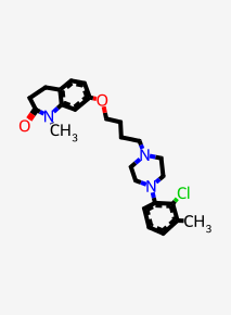 Cc1cccc(N2CCN(CCCCOc3ccc4c(c3)N(C)C(=O)CC4)CC2)c1Cl